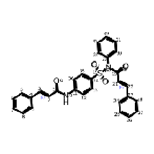 O=C(/C=C/c1ccccc1)Nc1ccc(S(=O)(=O)N(C(=O)/C=C/c2ccccc2)c2ccccc2)cc1